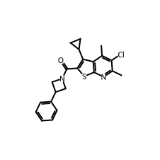 Cc1nc2sc(C(=O)N3CC(c4ccccc4)C3)c(C3CC3)c2c(C)c1Cl